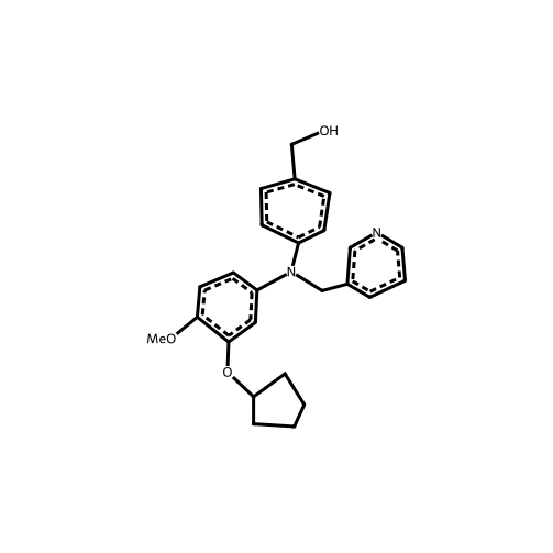 COc1ccc(N(Cc2cccnc2)c2ccc(CO)cc2)cc1OC1CCCC1